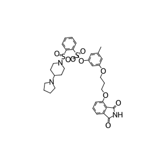 Cc1cc(OCCCOc2cccc3c2C(=O)NC3=O)cc(OS(=O)(=O)c2ccccc2S(=O)(=O)N2CCC(N3CCCC3)CC2)c1